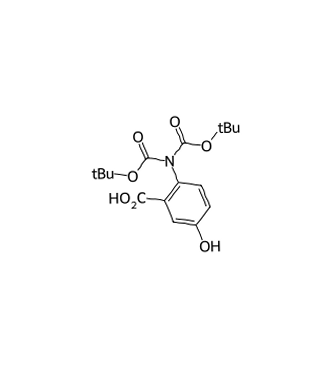 CC(C)(C)OC(=O)N(C(=O)OC(C)(C)C)c1ccc(O)cc1C(=O)O